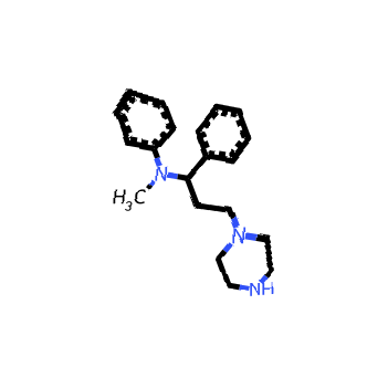 CN(c1ccccc1)C(CCN1CCNCC1)c1ccccc1